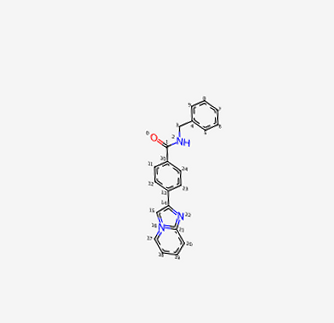 O=C(NCc1ccccc1)c1ccc(-c2cn3ccccc3n2)cc1